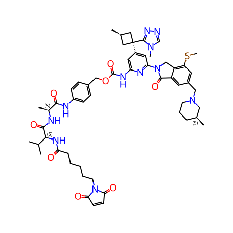 CSc1cc(CN2CCC[C@H](C)C2)cc2c1CN(c1cc([C@]3(c4nncn4C)C[C@@H](C)C3)cc(NC(=O)OCc3ccc(NC(=O)[C@H](C)NC(=O)[C@@H](NC(=O)CCCCCN4C(=O)C=CC4=O)C(C)C)cc3)n1)C2=O